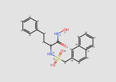 O=C(NO)C(CCc1ccccc1)NS(=O)(=O)Cc1ccc2ccccc2c1